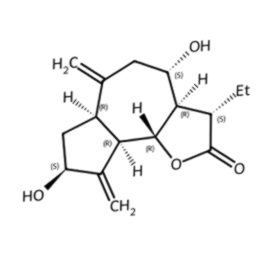 C=C1[C@@H]2[C@H]3OC(=O)[C@@H](CC)[C@@H]3[C@@H](O)CC(=C)[C@@H]2C[C@@H]1O